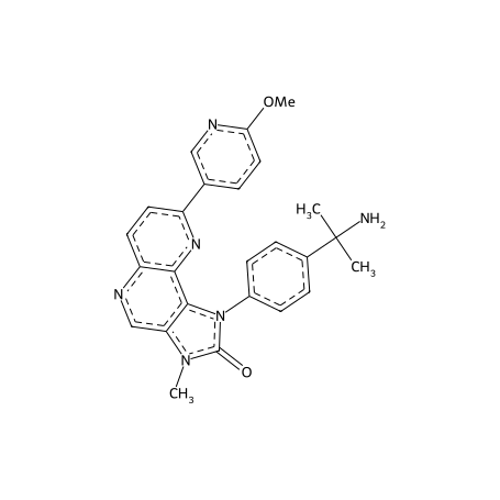 COc1ccc(-c2ccc3ncc4c(c3n2)n(-c2ccc(C(C)(C)N)cc2)c(=O)n4C)cn1